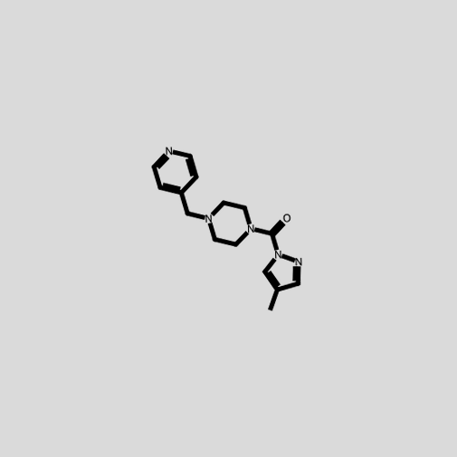 Cc1cnn(C(=O)N2CCN(Cc3ccncc3)CC2)c1